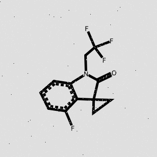 O=C1N(CC(F)(F)F)c2cccc(F)c2C12CC2